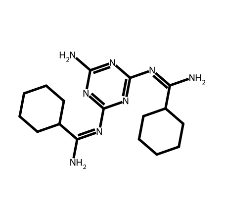 N/C(=N/c1nc(N)nc(/N=C(/N)C2CCCCC2)n1)C1CCCCC1